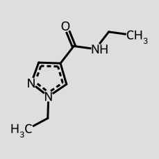 CCNC(=O)c1cnn(CC)c1